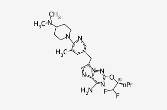 CCC[C@H](Oc1nc(N)c2ncc(Cc3cnc(N4CCC(N(C)C)CC4)c(C)c3)n2n1)C(F)F